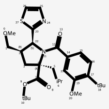 COC[C@@H]1C[C@](CC(C)C)(C(=O)OC(C)(C)C)N(C(=O)c2ccc(C(C)(C)C)c(OC)c2)[C@@H]1c1nccs1